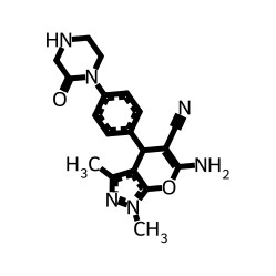 Cc1nn(C)c2c1C(c1ccc(N3CCNCC3=O)cc1)C(C#N)=C(N)O2